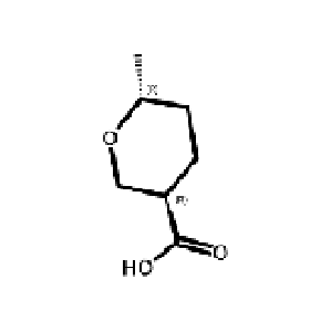 C[C@@H]1CC[C@@H](C(=O)O)CO1